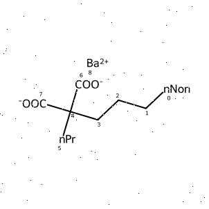 CCCCCCCCCCCCC(CCC)(C(=O)[O-])C(=O)[O-].[Ba+2]